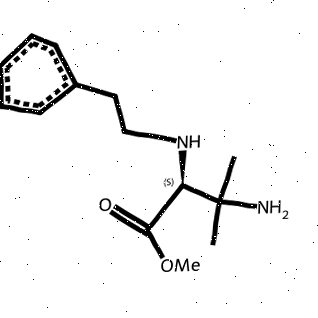 COC(=O)[C@@H](NCCc1ccccc1)C(C)(C)N